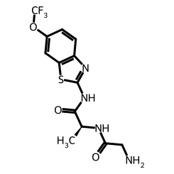 C[C@H](NC(=O)CN)C(=O)Nc1nc2ccc(OC(F)(F)F)cc2s1